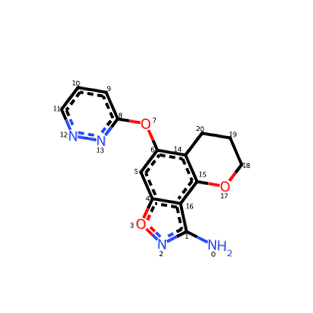 Nc1noc2cc(Oc3cccnn3)c3c(c12)OCCC3